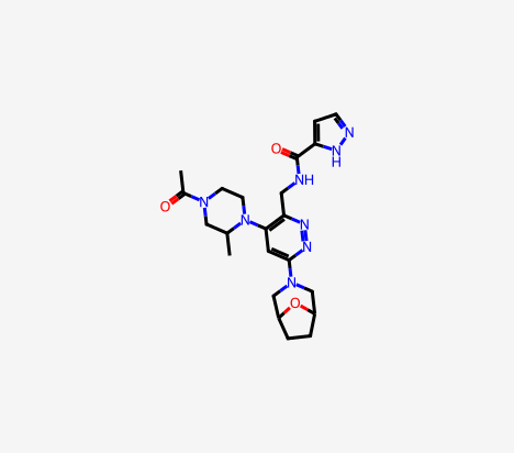 CC(=O)N1CCN(c2cc(N3CC4CCC(C3)O4)nnc2CNC(=O)c2ccn[nH]2)C(C)C1